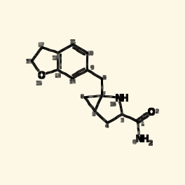 NC(=O)C1CC2CC2(Cc2ccc3c(c2)OCC3)N1